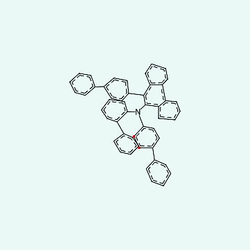 c1ccc(-c2ccc(-c3c(N(c4ccc(-c5ccccc5)cc4)c4ccccc4-c4ccccc4)c4ccccc4c4ccccc34)cc2)cc1